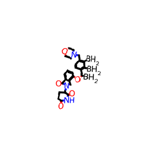 Bc1c(CN2CCOCC2)ccc(C(B)Oc2cccc3c2CN(C2CCC(=O)NC2=O)C3=O)c1B